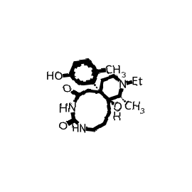 CCN1CC[C@]2(c3cc(O)ccc3C)CC(=O)NC(=O)NCCC[C@@]2(O)[C@H]1C